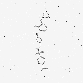 CC(=O)c1ccc(S(=O)(=O)N(C)CC2CC(Oc3cccc(CN4CCCC4)c3Cl)C2)cc1